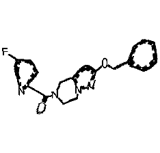 O=C(c1ccc(F)cn1)N1CCn2nc(OCc3ccccc3)cc2C1